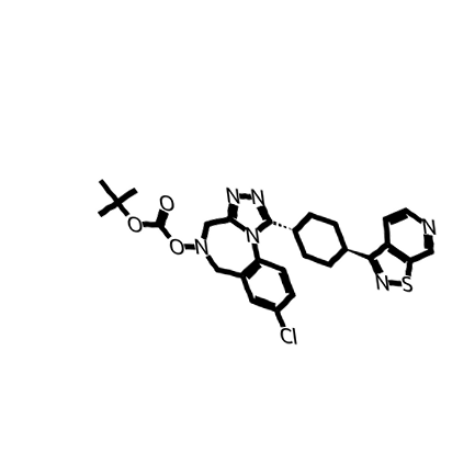 CC(C)(C)OC(=O)ON1Cc2cc(Cl)ccc2-n2c(nnc2[C@H]2CC[C@H](c3nsc4cnccc43)CC2)C1